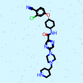 N#Cc1ccc(O[C@H]2CC[C@H](NC(=O)c3cnc(N4CCN(CC5CCNCC5)CC4)cn3)CC2)cc1Cl